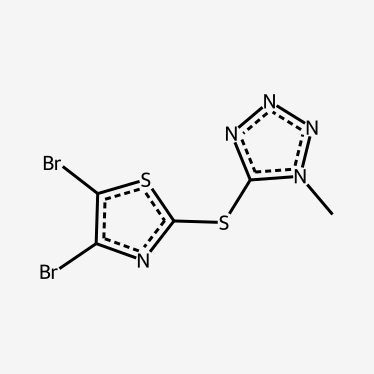 Cn1nnnc1Sc1nc(Br)c(Br)s1